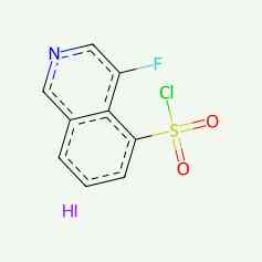 I.O=S(=O)(Cl)c1cccc2cncc(F)c12